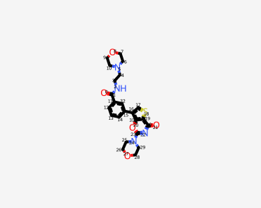 O=C(NCCN1CCOCC1)c1cccc(-c2csc3c(=O)nc(N4CCOCC4)oc23)c1